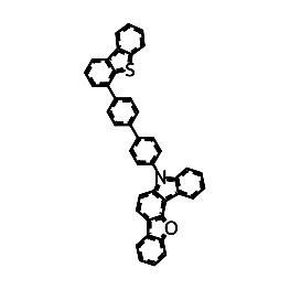 c1ccc2c(c1)oc1c2ccc2c1c1ccccc1n2-c1ccc(-c2ccc(-c3cccc4c3sc3ccccc34)cc2)cc1